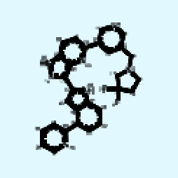 FC1(F)CCN(Cc2cncc(-c3ccc4[nH]nc(-c5cc6c(-c7ccccn7)cccc6[nH]5)c4n3)c2)C1